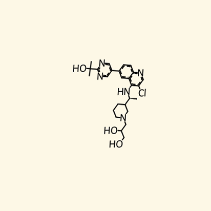 C[C@H](Nc1c(Cl)cnc2ccc(-c3cnc(C(C)(C)O)nc3)cc12)C1CCCN(CC(O)CO)C1